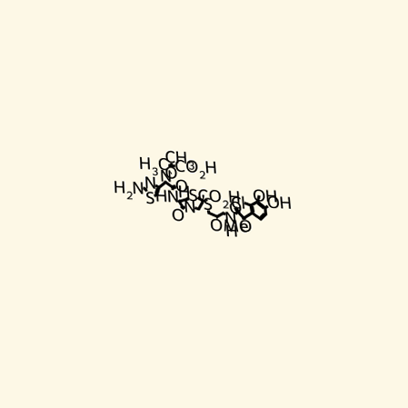 CO[C@@H](CNC(=O)C(=O)c1ccc(O)c(O)c1Cl)CS[C@]1(C(=O)O)CN2C(=O)C(NC(=O)/C(=N\OC(C)(C)C(=O)O)c3csc(N)n3)[C@H]2S1